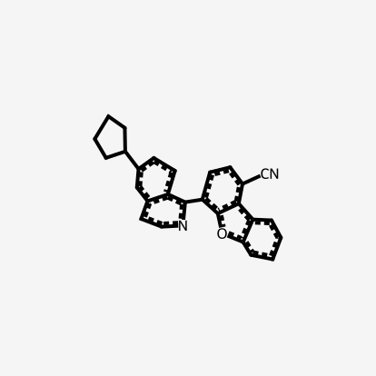 N#Cc1ccc(-c2nccc3cc(C4CCCC4)ccc23)c2oc3ccccc3c12